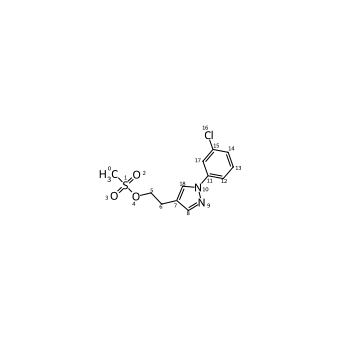 CS(=O)(=O)OCCc1cnn(-c2cccc(Cl)c2)c1